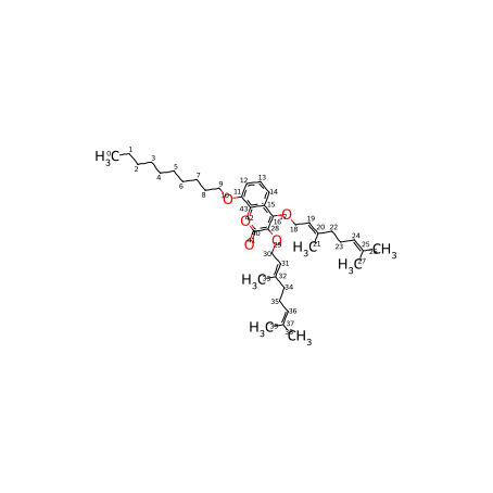 CCCCCCCCCCOc1cccc2c(OC/C=C(\C)CCC=C(C)C)c(OC/C=C(\C)CCC=C(C)C)c(=O)oc12